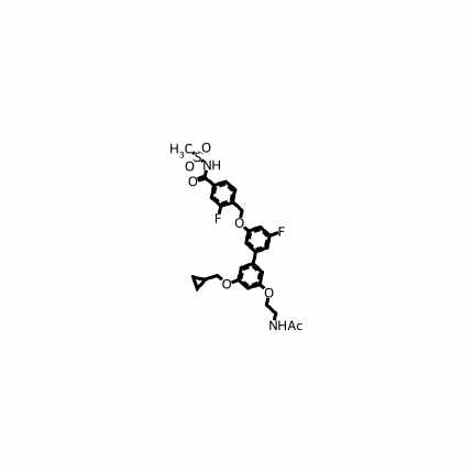 CC(=O)NCCOc1cc(OCC2CC2)cc(-c2cc(F)cc(OCc3ccc(C(=O)NS(C)(=O)=O)cc3F)c2)c1